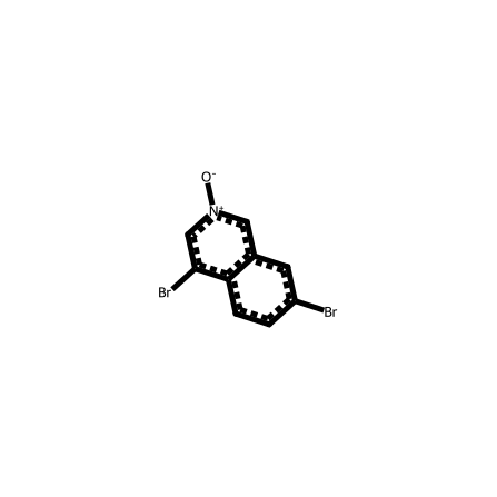 [O-][n+]1cc(Br)c2ccc(Br)cc2c1